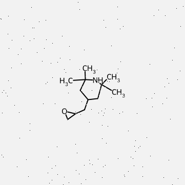 CC1(C)CC(CC2CO2)CC(C)(C)N1